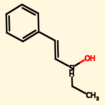 CC[SiH](O)C=Cc1ccccc1